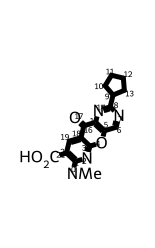 CNc1nc2oc3cnc(C4CCCC4)nc3c(=O)c2cc1C(=O)O